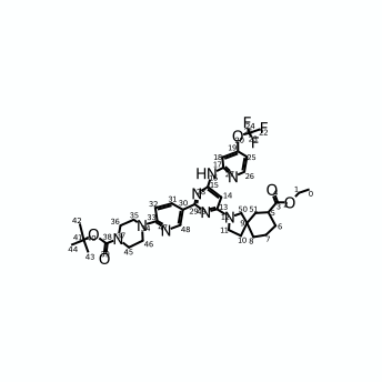 CCOC(=O)C1CCCC2(CCN(c3cc(Nc4cc(OC(F)(F)F)ccn4)nc(-c4ccc(N5CCN(C(=O)OC(C)(C)C)CC5)nc4)n3)C2)C1